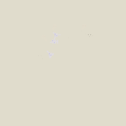 COC(=O)c1ccc(N(NC(=O)C(CC(=O)O)n2ccc(-c3ccc(-c4ccccc4)cc3)c2)C(=O)CCC(C)C)cc1